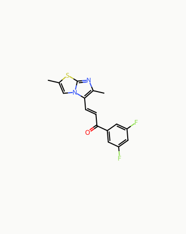 Cc1cn2c(/C=C/C(=O)c3cc(F)cc(F)c3)c(C)nc2s1